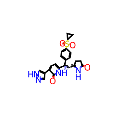 O=C1CC[C@H](/C=C(\c2ccc(S(=O)(=O)C3CC3)cc2)c2ccc(-c3cn[nH]c3)c(=O)[nH]2)N1